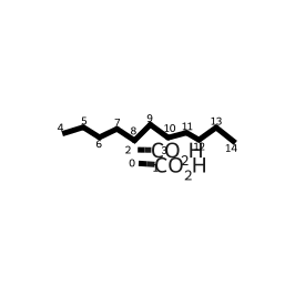 CC(=O)O.CC(=O)O.CCCCCCCCCCC